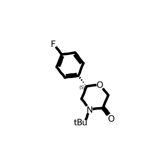 CC(C)(C)N1C[C@H](c2ccc(F)cc2)OCC1=O